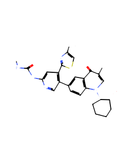 CCNC(=O)Nc1cc(-c2nc(C(F)(F)F)cs2)c(-c2ccc3c(c2)c(=O)c(C(=O)OCC)cn3[C@@H]2CCCC[C@H]2O)cn1